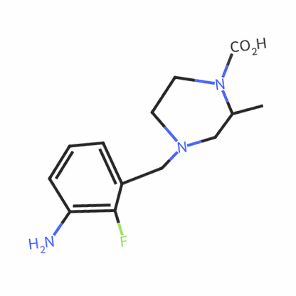 CC1CN(Cc2cccc(N)c2F)CCN1C(=O)O